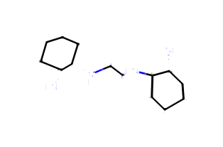 N[C@@H]1CCCCC1NCCN[C@H]1CCCC[C@H]1N